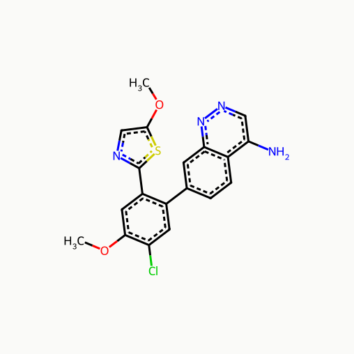 COc1cnc(-c2cc(OC)c(Cl)cc2-c2ccc3c(N)cnnc3c2)s1